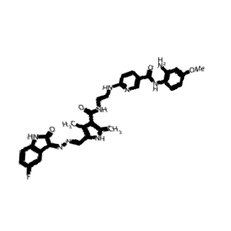 COc1ccc(NC(=O)c2ccc(NCCNC(=O)c3c(C)[nH]c(C=NN=C4C(=O)Nc5ccc(F)cc54)c3C)nc2)c(N)c1